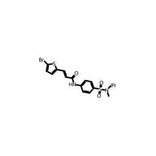 CC(C)N(C)S(=O)(=O)c1ccc(NC(=O)/C=C/c2ccc(Br)s2)cc1